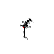 Cc1ncsc1-c1ccc([C@H](C)NC(=O)[C@@H]2C[C@@H](O)CN2C(=O)[C@@H](NC(=O)CCCCCOCCCCCCN)C(C)(C)S)cc1